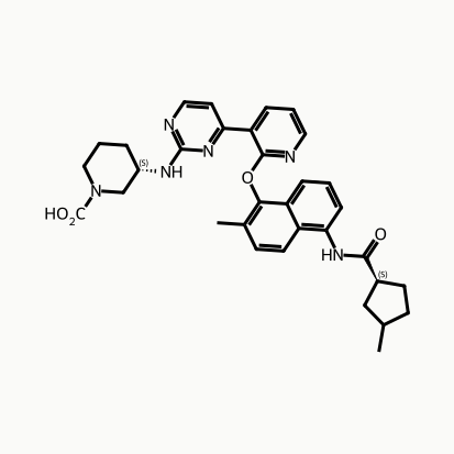 Cc1ccc2c(NC(=O)[C@H]3CCC(C)C3)cccc2c1Oc1ncccc1-c1ccnc(N[C@H]2CCCN(C(=O)O)C2)n1